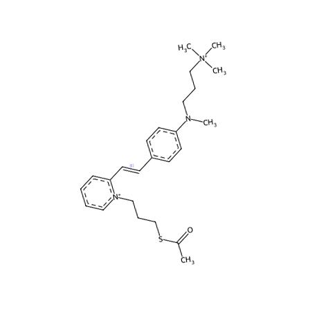 CC(=O)SCCC[n+]1ccccc1/C=C/c1ccc(N(C)CCC[N+](C)(C)C)cc1